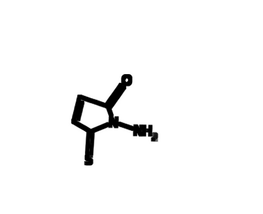 NN1C(=O)C=CC1=S